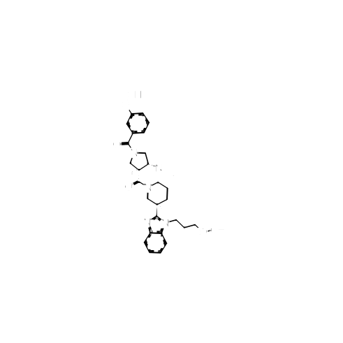 COCCCn1c([C@@H]2CCCN(C(=O)[C@@H]3CN(C(=O)c4cccc(OC)c4)C[C@H]3N)C2)nc2ccccc21